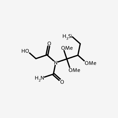 COC(C[SiH3])C(OC)(OC)N(C(N)=O)C(=O)CO